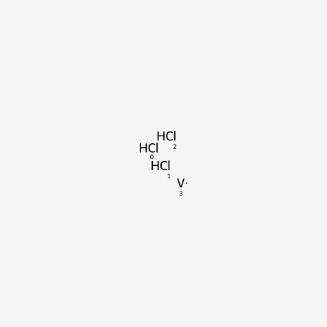 Cl.Cl.Cl.[V]